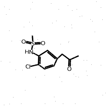 CC(=O)Cc1ccc(Cl)c(NS(C)(=O)=O)c1